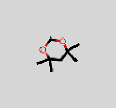 CC1(C)CC(C)(C)O[CH]O1